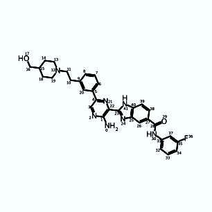 Nc1ncc(-c2cccc(CCN3CCC(CO)CC3)c2)nc1-c1nc2cc(C(=O)Nc3cccc(F)c3)ccc2[nH]1